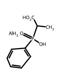 CC(C(=O)O)P(=O)(O)c1ccccc1.[AlH3]